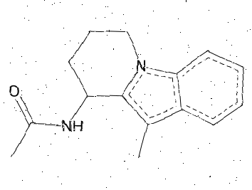 CC(=O)NC1CCCn2c1c(C)c1ccccc12